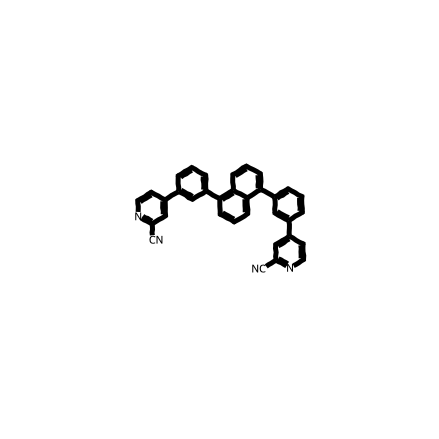 N#Cc1cc(-c2cccc(-c3cccc4c(-c5cccc(-c6ccnc(C#N)c6)c5)cccc34)c2)ccn1